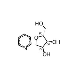 OC[C@H]1OC[C@H](O)[C@@H]1O.c1ccncc1